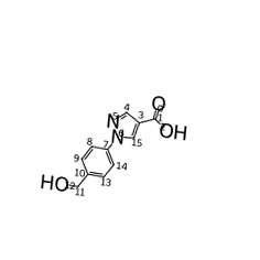 O=C(O)c1cnn(-c2ccc(CO)cc2)c1